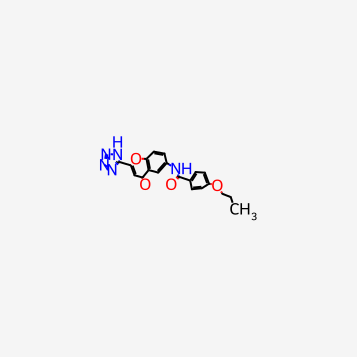 CCCOc1ccc(C(=O)Nc2ccc3oc(-c4nnn[nH]4)cc(=O)c3c2)cc1